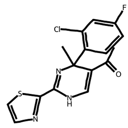 CC(=O)C1=CNC(c2nccs2)=NC1(C)c1ccc(F)cc1Cl